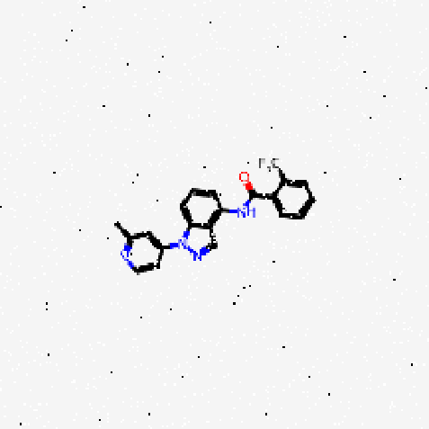 Cc1cc(-n2ncc3c(NC(=O)c4ccccc4C(F)(F)F)cccc32)ccn1